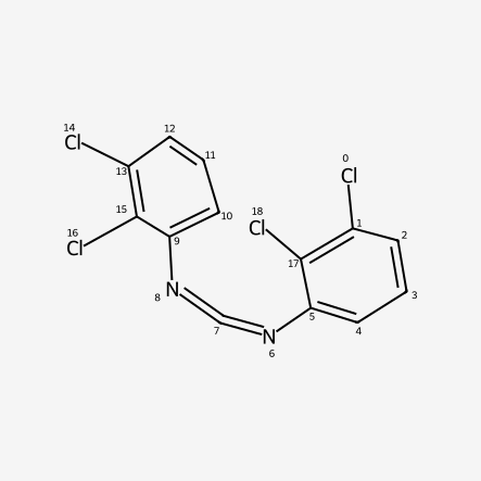 Clc1cccc(N=C=Nc2cccc(Cl)c2Cl)c1Cl